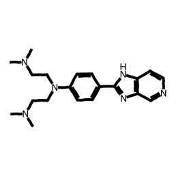 CN(C)CCN(CCN(C)C)c1ccc(-c2nc3cnccc3[nH]2)cc1